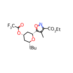 CCOC(=O)c1noc([C@H]2C[C@@H](OC(=O)C(F)(F)F)C[C@@H](C(C)(C)C)O2)c1C